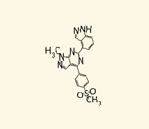 Cn1ncc2c(-c3ccc(S(C)(=O)=O)cc3)nc(-c3cccc4[nH]ncc34)nc21